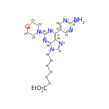 CCOC(=O)CCCCCCn1cnc2c(-c3cnc(N)nc3)nc(N3CCOCC3)nc21